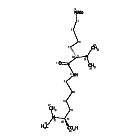 CNCCCC[C@@H](C(=O)NCCCC[C@@H](C(=O)O)N(C)C)N(C)C